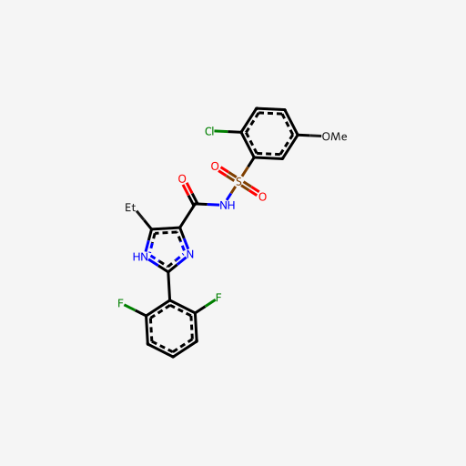 CCc1[nH]c(-c2c(F)cccc2F)nc1C(=O)NS(=O)(=O)c1cc(OC)ccc1Cl